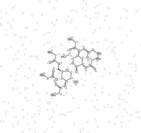 CC(C)(C)CC(=O)OC[C@H]1O[C@H](O[C@H]2O[C@H](CO)[C@@H](OC(=O)CC(C)(C)C)[C@H](OC(=O)CC(C)(C)C)[C@H]2OC(=O)CC(C)(C)C)[C@H](O)[C@@H](OC(=O)CC(C)(C)C)[C@@H]1OC(=O)CC(C)(C)C